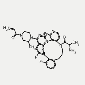 C=CC(=O)N1CCN(c2nc(=O)n3c4nc(c(F)cc24)-c2c(F)cccc2CCCN(C(=O)C(C)N)c2ccnc(C(C)C)c2-3)[C@@H](C)C1